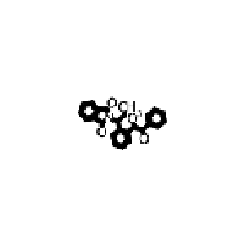 CCC(c1ccccc1C(=O)C(=O)c1ccccc1)N1C(=O)c2ccccc2C1=O